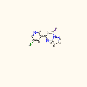 Fc1cncc(-c2cc(I)n3nccc3n2)c1